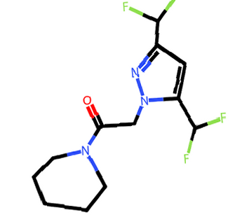 O=C(Cn1nc(C(F)F)cc1C(F)F)N1CCCCC1